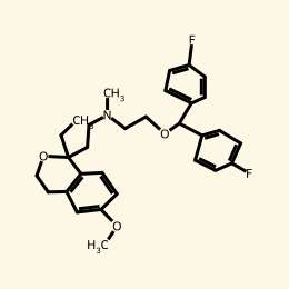 CCC1(CCN(C)CCOC(c2ccc(F)cc2)c2ccc(F)cc2)OCCc2cc(OC)ccc21